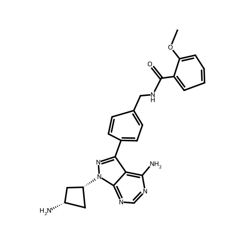 COc1ccccc1C(=O)NCc1ccc(-c2nn([C@H]3C[C@@H](N)C3)c3ncnc(N)c23)cc1